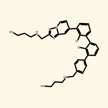 OCCCNCc1ccc(-c2cccc(-c3cccc(-c4ccn5nc(CNCCCO)nc5c4)c3Cl)c2Cl)cc1